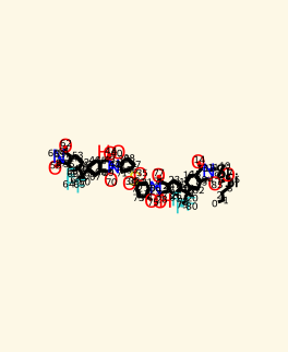 CCCC[Si](C)(C)O[Si](C)(C)CN1C(=O)c2ccc(C(C)(c3ccc4c(c3)C(=O)N(c3cc(S(=O)(=O)c5ccc(O)c(N6C(=O)c7ccc(C(C)(c8ccc9c(c8)C(=O)N(C)C9=O)C(F)(F)F)cc7C6=O)c5)ccc3O)C4=O)C(F)(F)F)cc2C1=O